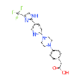 O=C(O)Cc1ccc(N2CCN(c3ccc(-c4nc(C(F)(F)F)c[nH]4)cn3)CC2)cc1